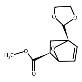 COC(=O)[C@H]1C[C@]2(C3OCCO3)C=CC1O2